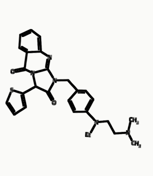 CCN(CCN(C)C)c1ccc(CN2C(=O)C(c3cccs3)n3c2nc2ccccc2c3=O)cc1